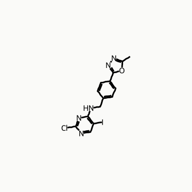 Cc1nnc(-c2ccc(CNc3nc(Cl)ncc3I)cc2)o1